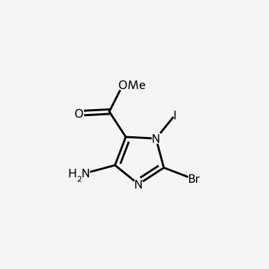 COC(=O)c1c(N)nc(Br)n1I